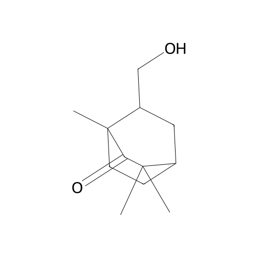 CC1(C)C(=O)C2(C)CCC1CC2CO